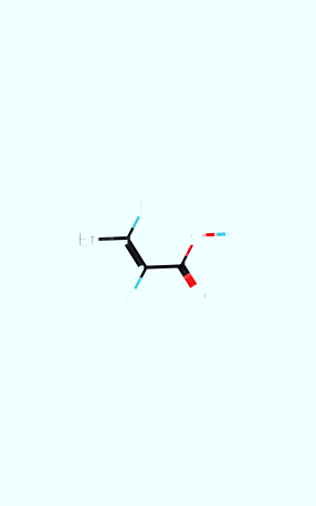 CCC(F)=C(F)C(=O)OF